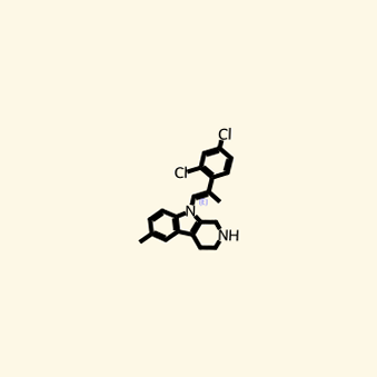 C/C(=C\n1c2c(c3cc(C)ccc31)CCNC2)c1ccc(Cl)cc1Cl